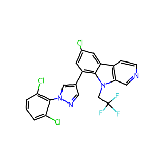 FC(F)(F)Cn1c2cnccc2c2cc(Cl)cc(-c3cnn(-c4c(Cl)cccc4Cl)c3)c21